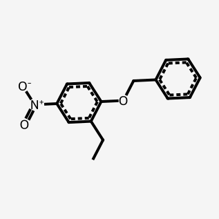 CCc1cc([N+](=O)[O-])ccc1OCc1ccccc1